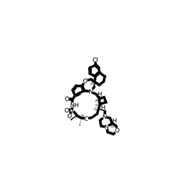 C[C@@H]1[C@@H](C)CCC[C@H](CN2CCN3CCOC[C@@H]3C2)[C@@H]2CC[C@H]2CN2C[C@@]3(CCCc4cc(Cl)ccc43)COc3ccc(cc32)C(=O)NS1(=O)=O